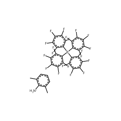 Cc1cccc(C)c1[NH3+].Fc1c(F)c(F)c([B-](c2c(F)c(F)c(F)c(F)c2F)(c2c(F)c(F)c(F)c(F)c2F)c2c(F)c(F)c(F)c(F)c2F)c(F)c1F